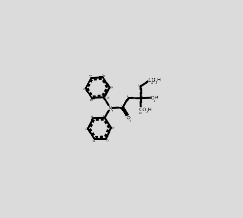 O=C(O)CC(O)(CC(=O)N(c1ccccc1)c1ccccc1)C(=O)O